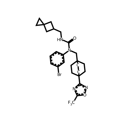 O=C(NCC1CC2(CC2)C1)N(CC12CCC(c3noc(C(F)(F)F)n3)(CC1)CC2)c1cccc(Br)c1